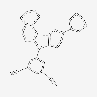 N#Cc1cc(C#N)cc(-n2c3ccc(-c4ccccc4)cc3c3c4ccccc4ccc32)c1